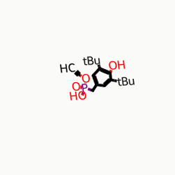 C#COP(=O)(O)Cc1cc(C(C)(C)C)c(O)c(C(C)(C)C)c1